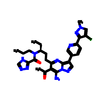 CCCN(C(=O)c1nnc[nH]1)[C@H](CC)CCc1nc2c(-c3ccc(-c4nn(C)cc4F)nc3)cnn2c(N)c1C(C)=O